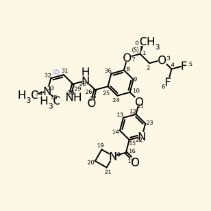 C[C@@H](COC(F)F)Oc1cc(Oc2ccc(C(=O)N3CCC3)nc2)cc(C(=O)NC(=N)/C=C\N(C)C)c1